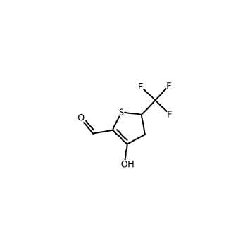 O=CC1=C(O)CC(C(F)(F)F)S1